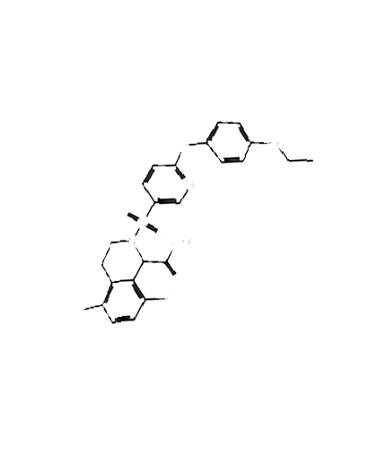 CCOc1ccc(Oc2ccc(S(=O)(=O)N3CCc4c(C)ccc(F)c4C3C(=O)O)cn2)cc1